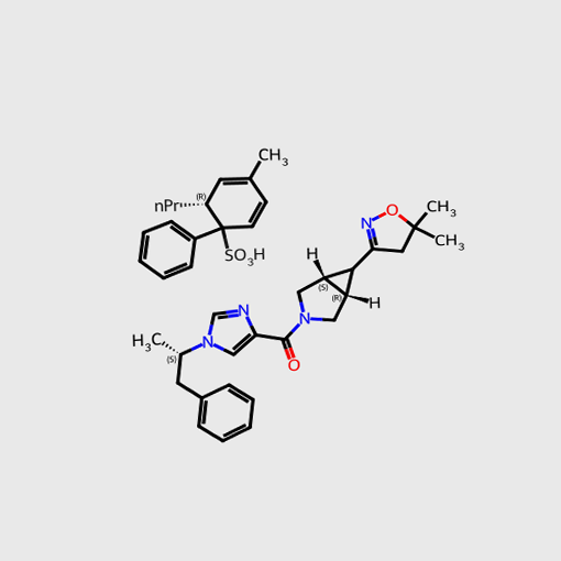 CCC[C@@H]1C=C(C)C=CC1(c1ccccc1)S(=O)(=O)O.C[C@@H](Cc1ccccc1)n1cnc(C(=O)N2C[C@@H]3C(C4=NOC(C)(C)C4)[C@@H]3C2)c1